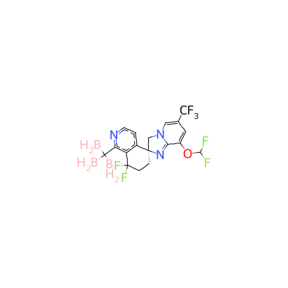 BC(B)(B)c1nccc2c1C(F)(F)CC[C@@]21CN2C=C(C(F)(F)F)C=C(OC(F)F)C2=N1